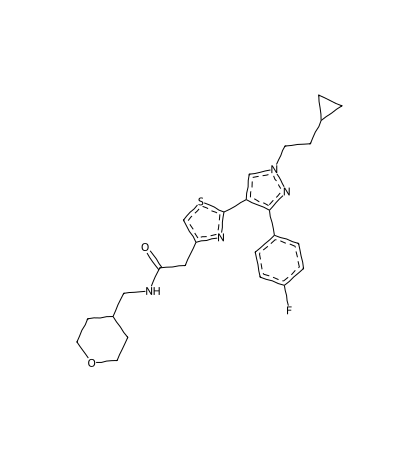 O=C(Cc1csc(-c2cn(CCC3CC3)nc2-c2ccc(F)cc2)n1)NCC1CCOCC1